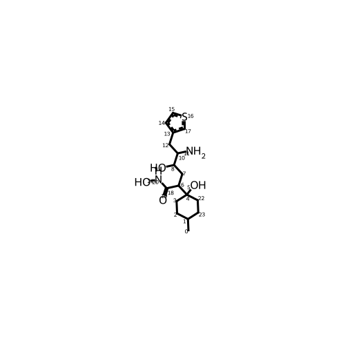 CC1CCC(O)(C(CC(O)C(N)Cc2ccsc2)C(=O)NO)CC1